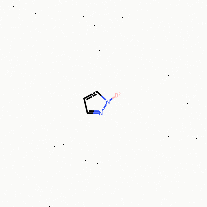 [B+2]n1cccn1